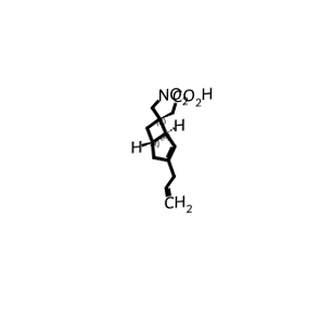 C=CCC1=C[C@H]2[C@H](C1)C[C@]2(CC(=O)O)C[N+](=O)[O-]